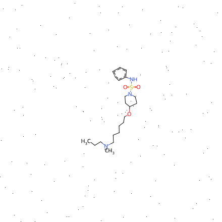 CCCN(C)CCCCCCOC1CCN(S(=O)(=O)Nc2ccccc2)CC1